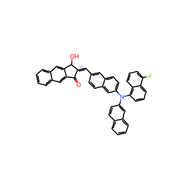 O=C1/C(=C\c2ccc3cc(N(c4ccc5ccccc5c4)c4cccc5c(F)cccc45)ccc3c2)C(O)c2cc3ccccc3cc21